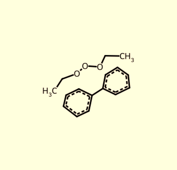 CCOOOCC.c1ccc(-c2ccccc2)cc1